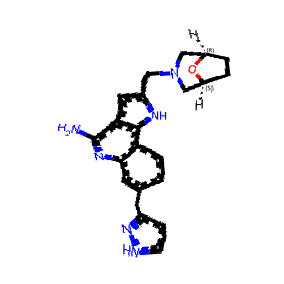 Nc1nc2cc(-c3cc[nH]n3)ccc2c2[nH]c(CN3C[C@H]4CC[C@@H](C3)O4)cc12